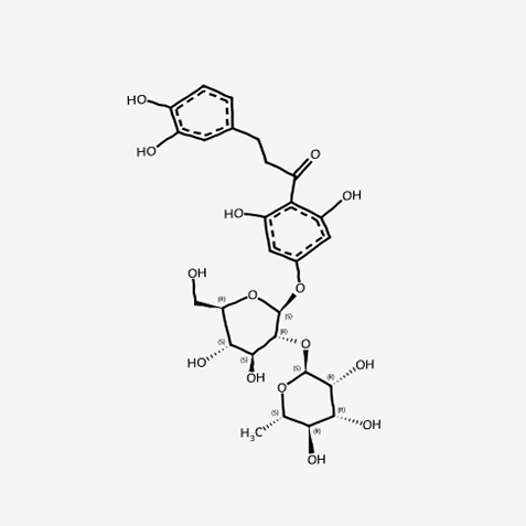 C[C@@H]1O[C@@H](O[C@H]2[C@H](Oc3cc(O)c(C(=O)CCc4ccc(O)c(O)c4)c(O)c3)O[C@H](CO)[C@@H](O)[C@@H]2O)[C@H](O)[C@H](O)[C@H]1O